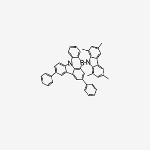 Cc1cc(C)c2c(c1)c1cc(C)cc(C)c1n2B1c2ccccc2-n2c3ccc(-c4ccccc4)cc3c3cc(-c4ccccc4)cc1c32